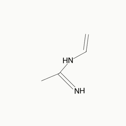 C=CNC(C)=N